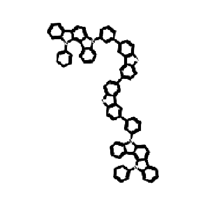 C1=CCCC(n2c3ccccc3c3ccc4c(c5ccccc5n4-c4cccc(-c5ccc6sc7ccc(-c8ccc9sc%10ccc(-c%11cccc(-n%12c%13ccccc%13c%13c%14c(ccc%13%12)c%12ccccc%12n%14C%12=CCCC=C%12)c%11)cc%10c9c8)cc7c6c5)c4)c32)=C1